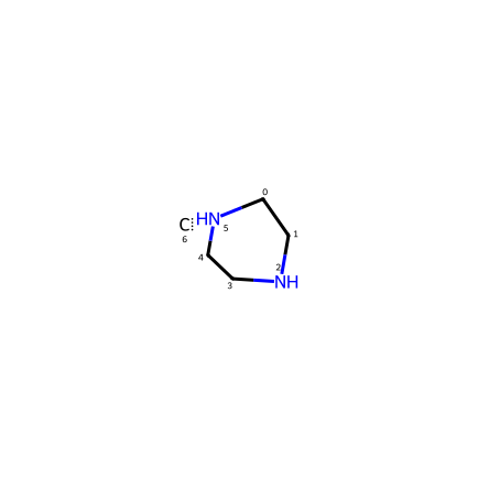 C1CNCCN1.[C]